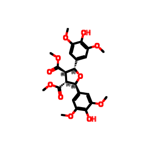 COC(=O)[C@@H]1[C@@H](C(=O)OC)[C@H](c2cc(OC)c(O)c(OC)c2)O[C@H]1c1cc(OC)c(O)c(OC)c1